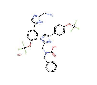 Br.NCc1ncc(-c2ccc(OC(F)(F)F)cc2)[nH]1.O=C(O)N(Cc1ccccc1)Cc1ncc(-c2ccc(OC(F)(F)F)cc2)[nH]1